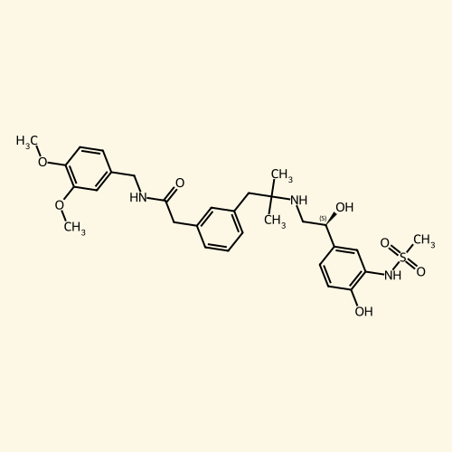 COc1ccc(CNC(=O)Cc2cccc(CC(C)(C)NC[C@@H](O)c3ccc(O)c(NS(C)(=O)=O)c3)c2)cc1OC